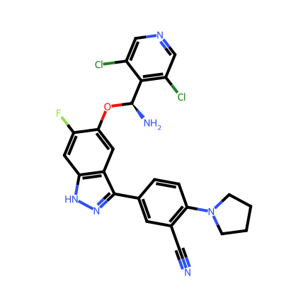 N#Cc1cc(-c2n[nH]c3cc(F)c(O[C@H](N)c4c(Cl)cncc4Cl)cc23)ccc1N1CCCC1